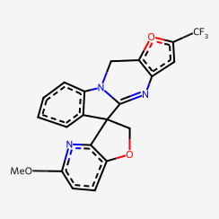 COc1ccc2c(n1)C1(CO2)C2=Nc3cc(C(F)(F)F)oc3CN2c2ccccc21